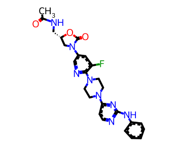 CC(=O)NC[C@H]1CN(c2cnc(N3CCN(c4ccnc(Nc5ccccc5)n4)CC3)c(F)c2)C(=O)O1